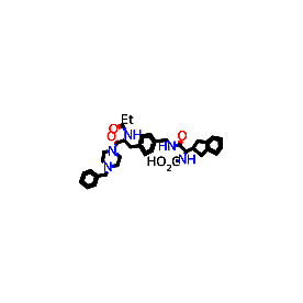 CCC(=O)NC(Cc1ccc(CNC(=O)C(NC(=O)O)C2Cc3ccccc3C2)cc1)C(=O)N1CCN(Cc2ccccc2)CC1